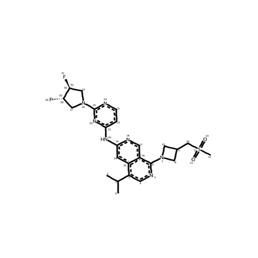 CC(C)c1cnc(N2CC(CS(C)(=O)=O)C2)c2cnc(Nc3ccnc(N4C[C@H](F)[C@@H](F)C4)n3)cc12